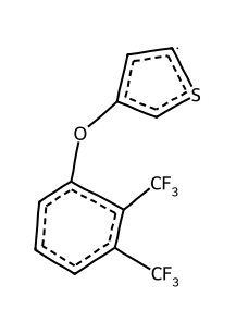 FC(F)(F)c1cccc(Oc2c[c]sc2)c1C(F)(F)F